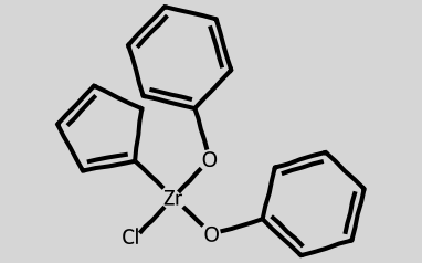 [Cl][Zr]([O]c1ccccc1)([O]c1ccccc1)[C]1=CC=CC1